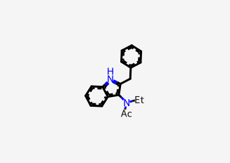 CCN(C(C)=O)c1c(Cc2ccccc2)[nH]c2ccccc12